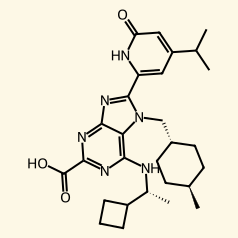 CC(C)c1cc(-c2nc3nc(C(=O)O)nc(N[C@H](C)C4CCC4)c3n2C[C@H]2CC[C@H](C)CC2)[nH]c(=O)c1